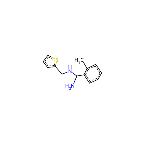 Cc1ccccc1C(N)NCc1cccs1